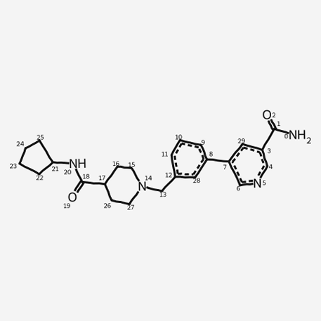 NC(=O)c1cncc(-c2cccc(CN3CCC(C(=O)NC4CCCC4)CC3)c2)c1